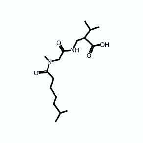 CC(C)CCCCC(=O)N(C)CC(=O)NCC(C(=O)O)C(C)C